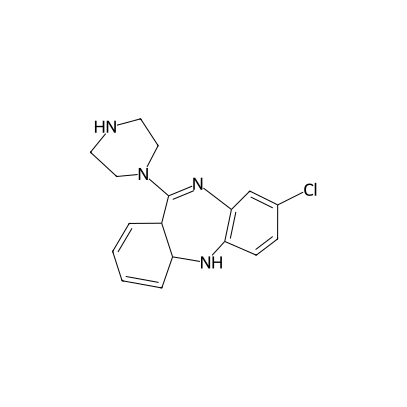 Clc1ccc2c(c1)N=C(N1CCNCC1)C1C=CC=CC1N2